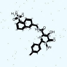 CCCn1c(-c2ccc(C)cc2)nc(C(=O)NCc2ccc3c(S(N)(=O)=O)cccc3c2)c(O)c1=O